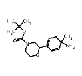 CC1(N)C=CC(C2CN(C(=O)OC(C)(C)C)CCO2)=CC1